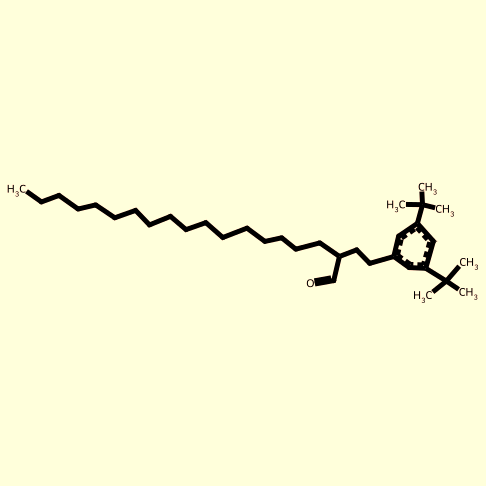 CCCCCCCCCCCCCCCCCC(C=O)CCc1cc(C(C)(C)C)[c]c(C(C)(C)C)c1